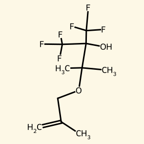 C=C(C)COC(C)(C)C(O)(C(F)(F)F)C(F)(F)F